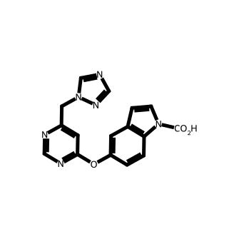 O=C(O)n1ccc2cc(Oc3cc(Cn4cncn4)ncn3)ccc21